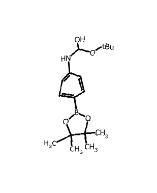 CC(C)(C)OC(O)Nc1ccc(B2OC(C)(C)C(C)(C)O2)cc1